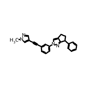 Cn1cc(C#Cc2cccc(-n3cc4c(n3)C(c3ccccc3)CC4)c2)cn1